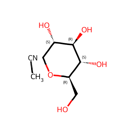 CC#N.OC[C@H]1OC[C@H](O)[C@@H](O)[C@@H]1O